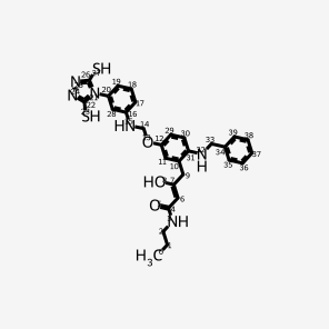 CCCNC(=O)C=C(O)Cc1cc(OCNc2cccc(-n3c(S)nnc3S)c2)ccc1NCc1ccccc1